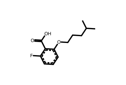 CC(C)CCCOc1cccc(F)c1C(=O)O